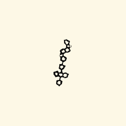 C1=Cc2oc3ccc4c(ccc5sc6cc(-c7ccc(-c8c9ccccc9c(-c9ccccc9)c9ccccc89)cc7)ccc6c54)c3c2CC1